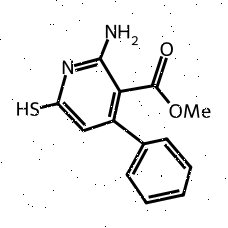 COC(=O)c1c(-c2ccccc2)cc(S)nc1N